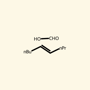 CCCC=CCCCC.O=CO